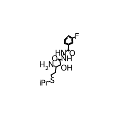 CC(C)SCC[C@@H](N)C(O)C(=O)NNC(=O)c1cccc(F)c1